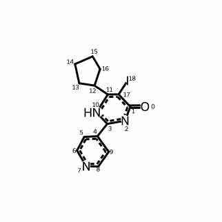 O=c1nc(-c2ccncc2)[nH]c(C2CCCC2)c1I